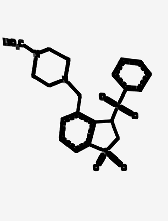 CCOC(=O)N1CCN(Cc2cccc3c2C(S(=O)(=O)c2ccccc2)CS3(=O)=O)CC1